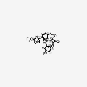 CN(Cc1ccc(-c2noc(C(F)(F)F)n2)cc1)c1c(NCc2cccc(F)c2)c(=O)c1=O